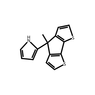 CC1(c2ccc[nH]2)c2ccsc2-c2sccc21